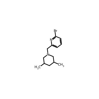 CC1CC(C)CN(Cc2cccc(Br)n2)C1